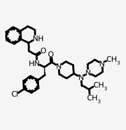 CC(C)CN(C1CCN(C(=O)[C@@H](Cc2ccc(Cl)cc2)NC(=O)CC2NCCc3ccccc32)CC1)N1CCN(C)CC1